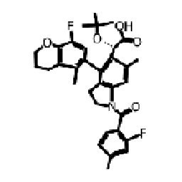 Cc1ccc(C(=O)N2CCc3c2cc(C)c([C@H](OC(C)(C)C)C(=O)O)c3-c2cc(F)c3c(c2C)CCCO3)c(F)c1